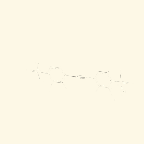 CCc1c(C#Cc2ccc(P(=O)(O)O)c(CC)c2CC)ccc(P(=O)(O)O)c1CC